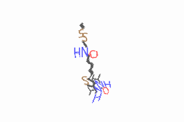 CCSSCCNC(=O)CCCC[C@@H]1SC[C@@H]2NC(=O)N[C@@H]21